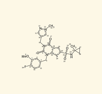 COc1cc(Cn2c(=O)n(Cc3cnn(C)c3)c(=O)c3cc(S(=O)(=O)NC4(C)CC4)sc32)ccc1F